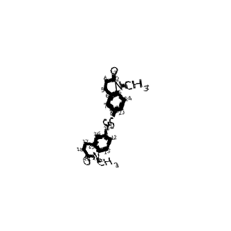 CN1C(=O)CCc2cc(SSc3ccc4c(c3)CCC(=O)N4C)ccc21